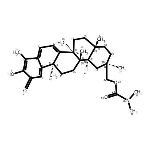 CC1=C(O)C(=O)C=C2C1=CC=C1[C@@]2(C)CC[C@@]2(C)[C@@H]3C[C@](C)(COC(=O)N(C)C)CC[C@@]3(C)CC[C@]12C